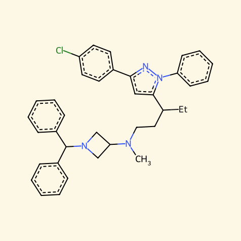 CCC(CCN(C)C1CN(C(c2ccccc2)c2ccccc2)C1)c1cc(-c2ccc(Cl)cc2)nn1-c1ccccc1